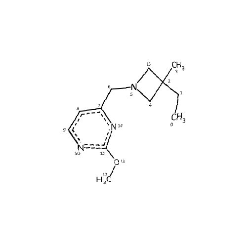 CCC1(C)CN(Cc2ccnc(OC)n2)C1